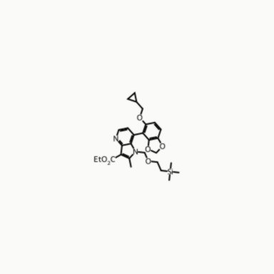 CCOC(=O)c1c(C)n(COCC[Si](C)(C)C)c2c(-c3c(OCC4CC4)ccc4c3OCO4)ccnc12